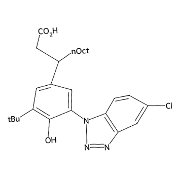 CCCCCCCCC(CC(=O)O)c1cc(-n2nnc3cc(Cl)ccc32)c(O)c(C(C)(C)C)c1